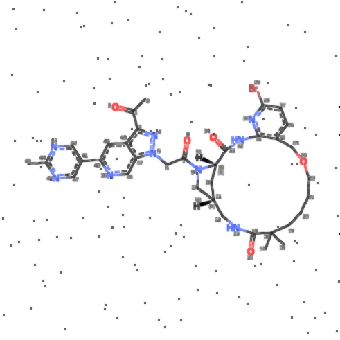 CC(=O)c1nn(CC(=O)N2C[C@H]3CNC(=O)C(C)(C)CCCCOCc4ccc(Br)nc4NC(=O)[C@@H]2C3)c2cnc(-c3cnc(C)nc3)cc12